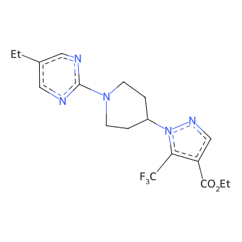 CCOC(=O)c1cnn(C2CCN(c3ncc(CC)cn3)CC2)c1C(F)(F)F